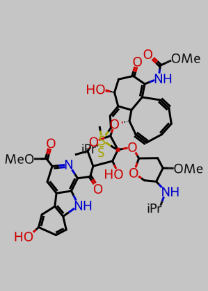 COC(=O)NC1=C2C#C/C=C\C#C[C@H](OC3OC(C)C(C(=O)c4nc(C(=O)OC)cc5c4[nH]c4ccc(O)cc45)C(O)C3OC3CC(OC)C(NC(C)C)CO3)C2/C(=C\CS(C)(C)(=S)C(C)C)[C@@H](O)CC1=O